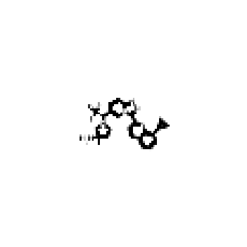 C[C@]1(N)CCN([C@H](c2ccc3nnc(-c4ccc5cccc(C6CC6)c5n4)n3c2)C(F)(F)F)C1